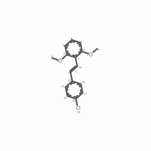 COc1cccc(OC)c1/C=C/c1ccc(Cl)cc1